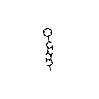 Cc1cc2c(s1)sc1c3cc(-c4ccccc4)sc3sc21